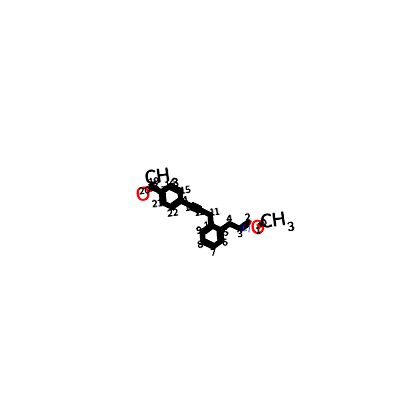 CO/C=C/Cc1ccccc1CC#Cc1ccc(C(C)=O)cc1